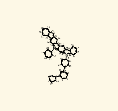 c1ccc(-c2cccc(-c3ccc(-n4c5ccccc5c5cc6c7cc8oc9ccccc9c8cc7n(-c7ccccc7)c6cc54)cc3)c2)cc1